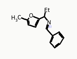 CCC(/N=C/c1ccccc1)c1ccc(C)o1